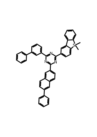 C[Si]1(C)c2ccccc2-c2cc(-c3nc(-c4cccc(-c5ccccc5)c4)nc(-c4ccc5cc(-c6ccccc6)ccc5c4)n3)ccc21